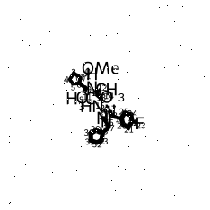 COC[C@H]1CCCC1C(=O)NC(C)(C)C(=O)Nc1nc(-c2ccc(F)cc2)n(Cc2ccccc2)n1